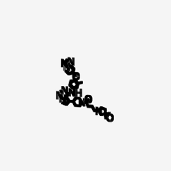 Cc1cc(Nc2ncnn3ccc(C4CCN(C(=O)/C=C/CN5CCC6(COC6)C5)CC4)c23)ccc1Oc1ccn2ncnc2c1